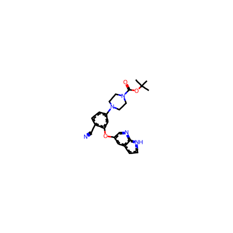 CC(C)(C)OC(=O)N1CCN(c2ccc(C#N)c(Oc3cnc4[nH]ccc4c3)c2)CC1